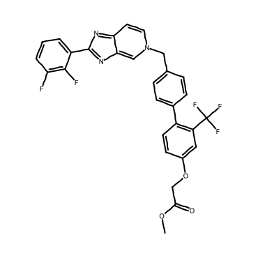 COC(=O)COc1ccc(-c2ccc(Cn3ccc4nc(-c5cccc(F)c5F)nc-4c3)cc2)c(C(F)(F)F)c1